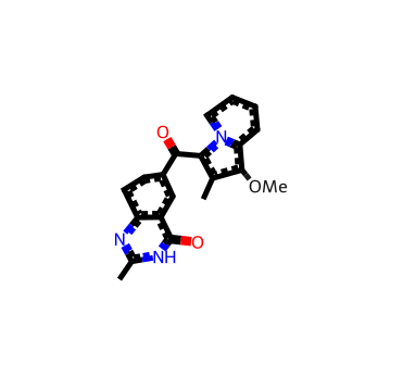 COc1c(C)c(C(=O)c2ccc3nc(C)[nH]c(=O)c3c2)n2ccccc12